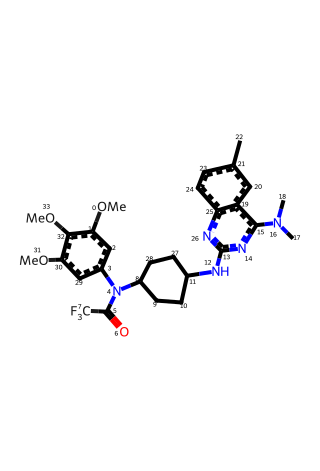 COc1cc(N(C(=O)C(F)(F)F)C2CCC(Nc3nc(N(C)C)c4cc(C)ccc4n3)CC2)cc(OC)c1OC